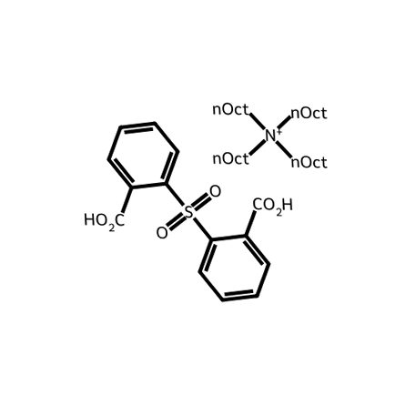 CCCCCCCC[N+](CCCCCCCC)(CCCCCCCC)CCCCCCCC.O=C(O)c1ccccc1S(=O)(=O)c1ccccc1C(=O)O